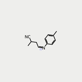 Cc1ccc(/N=C\CC(C)C#N)cc1